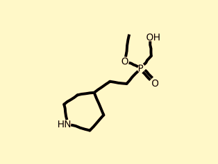 COP(=O)(CO)CCC1CCNCC1